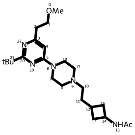 COCCc1cc(N2CCN(CCC3CC(NC(C)=O)C3)CC2)nc(C(C)(C)C)n1